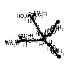 CCN(CCN(CCN(CC(=O)O)CC(=O)O)CC(=O)NCCCOCCOCCOCCCNC(=O)CN(CCN(CC(=O)NCCCOCCOCCOCCCNC(=O)CN(CCN(CC(=O)O)CC(=O)O)CCN(CC(=O)O)CC(=O)O)CC(=O)NCc1ccc(CCC(=O)NNC(=O)[C@H](N)CSCc2ccccc2)cc1)CC(=O)NCc1ccc(CCC(=O)NNC(=O)[C@H](N)CSCc2ccccc2)cc1)CC(=O)O